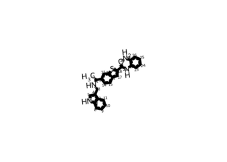 CC(NCc1c[nH]c2ccccc12)c1ccc2cc(C(=O)Nc3ccccc3N)sc2c1